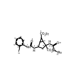 CCOC(=O)C1C2C(NC(=O)Nc3ccccc3F)CC(NC(=O)OC(C)(C)C)(C(=O)OCC)C12